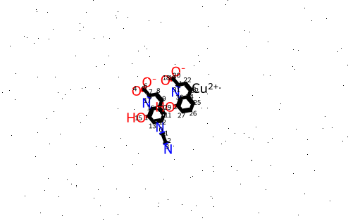 N#CC#N.O=C([O-])c1ccc2cccc(O)c2n1.O=C([O-])c1ccc2cccc(O)c2n1.[Cu+2]